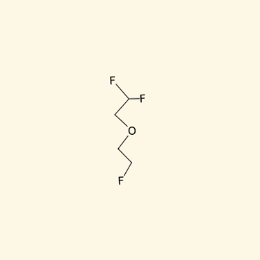 FCCOCC(F)F